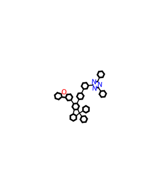 c1ccc(-c2nc(-c3ccccc3)nc(-c3cccc(-c4ccc(-c5cc6c(cc5-c5ccc7oc8ccccc8c7c5)-c5ccccc5C6(c5ccccc5)c5ccccc5)cc4)c3)n2)cc1